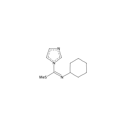 CSC(=NC1CCCCC1)n1ccnc1